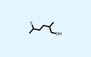 CC(F)CCC(C)CO